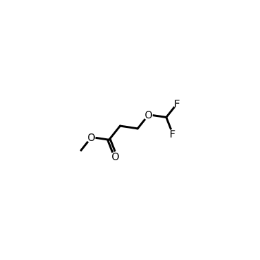 COC(=O)CCOC(F)F